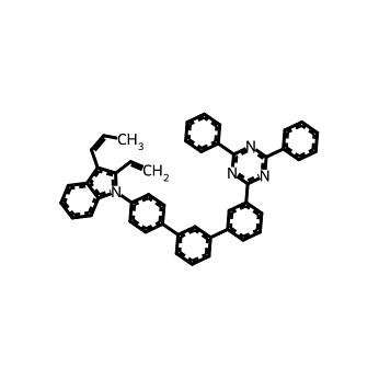 C=Cc1c(/C=C\C)c2ccccc2n1-c1ccc(-c2cccc(-c3cccc(-c4nc(-c5ccccc5)nc(-c5ccccc5)n4)c3)c2)cc1